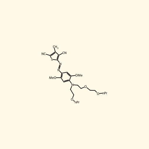 CCCOCCOCCN(CCOCCC)c1cc(OC)c(/N=N/c2sc(C#N)c(C)c2C#N)cc1OC